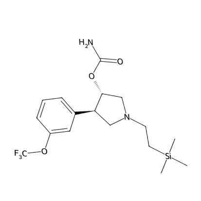 C[Si](C)(C)CCN1C[C@@H](OC(N)=O)[C@H](c2cccc(OC(F)(F)F)c2)C1